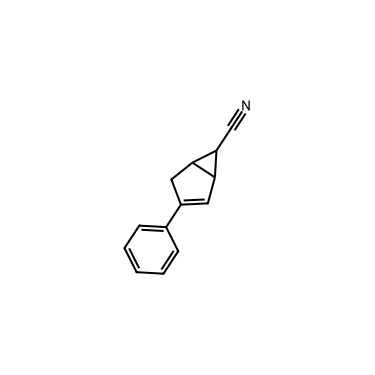 N#CC1C2C=C(c3ccccc3)CC12